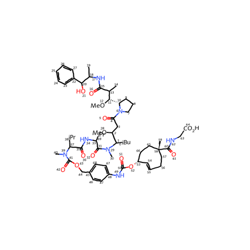 CCC(C)C(C(CC(=O)N1CCC[C@H]1C(OC)C(C)C(=O)NC(C)C(O)c1ccccc1)OC)N(C)C(=O)C(NC(=O)C(C(C)C)N(C)C(=O)OCc1ccc(NC(=O)O[C@H]2/C=C/CC[C@@](C)(C(=O)NCC(=O)O)CC2)cc1)C(C)C